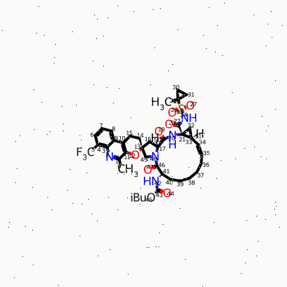 Cc1nc2c(C(F)(F)F)cccc2c2c1O[C@]1(CC2)C[C@H]2C(=O)N[C@]3(C(=O)NS(=O)(=O)C4(C)CC4)C[C@H]3/C=C\CCCCC[C@H](NC(=O)OCC(C)C)C(=O)N2C1